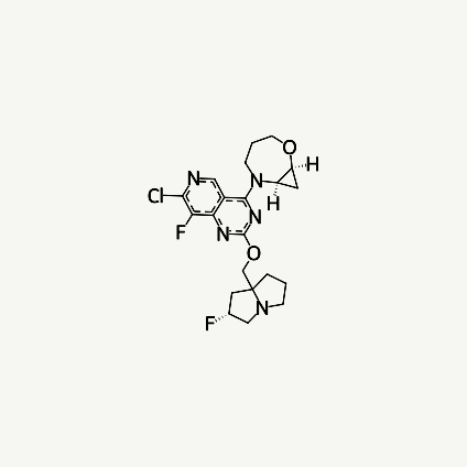 Fc1c(Cl)ncc2c(N3CCCO[C@H]4C[C@H]43)nc(OCC34CCCN3C[C@H](F)C4)nc12